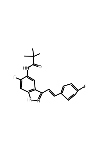 CC(C)(C)C(=O)Nc1cc2c(C=Cc3ccc(F)cc3)n[nH]c2cc1F